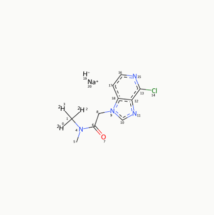 [2H]C([2H])([2H])N(C)C(=O)Cn1cnc2c(Cl)nccc21.[H-].[Na+]